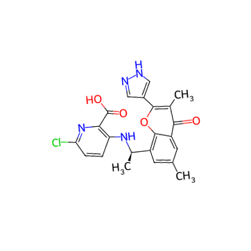 Cc1cc([C@@H](C)Nc2ccc(Cl)nc2C(=O)O)c2oc(-c3cn[nH]c3)c(C)c(=O)c2c1